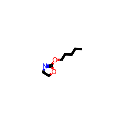 CCCCCOC1=NCCO1